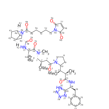 CC[C@H](C)[C@@H]([C@@H](CC(=O)N1CCCC1[C@H](OC)[C@@H](C)C(=O)N[C@@H](Cc1ccccc1)c1nnn[nH]1)OC)N(C)C(=O)C(NC(=O)[C@@H]1[C@H]2CC[C@H](C2)N1C(=O)CCCCCN1C(=O)C=CC1=O)C(C)C